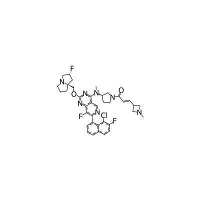 CN1CC(/C=C/C(=O)N2CC[C@@H](N(C)c3nc(OC[C@@]45CCCN4C[C@H](F)C5)nc4c(F)c(-c5cccc6ccc(F)c(Cl)c56)ncc34)C2)C1